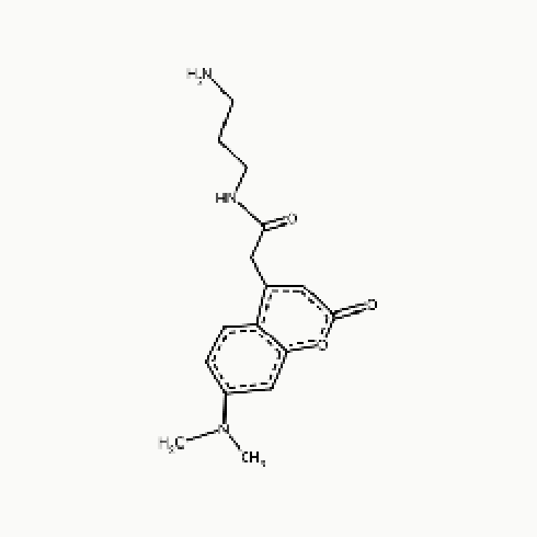 CN(C)c1ccc2c(CC(=O)NCCCN)cc(=O)oc2c1